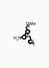 CON=Cc1ccc2c(c1)c1c(n2Cc2cccc(F)n2)CCC(N)C1